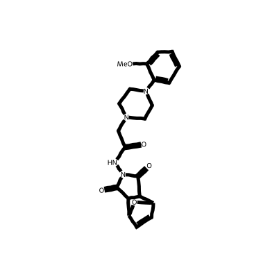 COc1ccccc1N1CCN(CC(=O)NN2C(=O)C3C4C=CC(O4)C3C2=O)CC1